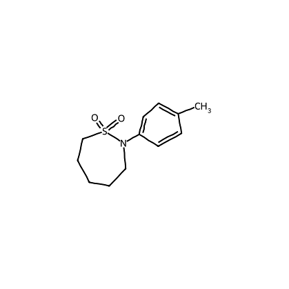 Cc1ccc(N2CCCCCS2(=O)=O)cc1